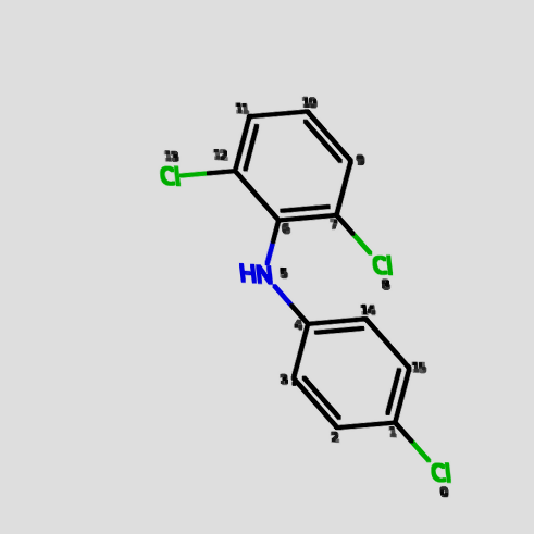 Clc1c[c]c(Nc2c(Cl)cccc2Cl)cc1